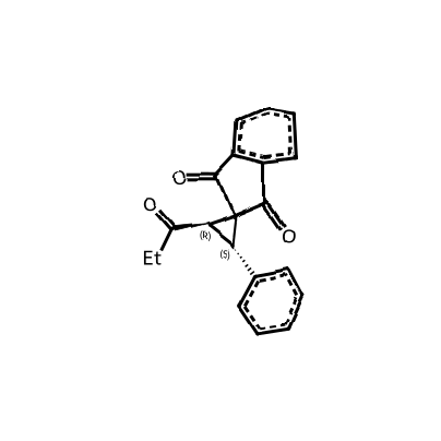 CCC(=O)[C@@H]1[C@@H](c2ccccc2)C12C(=O)c1ccccc1C2=O